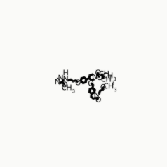 COCCCN1C(=O)CCc2ccc(COC3CN(C(=O)OC(C)(C)C)CCC3c3ccc(OCCCCNc4ncncc4OC)cc3)cc21